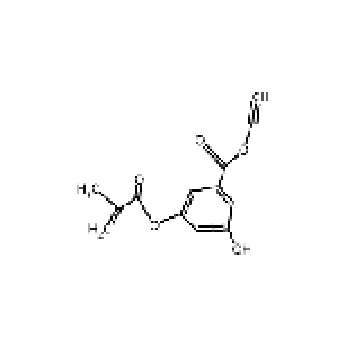 C#COC(=O)c1cc(O)cc(OC(=O)C(=C)C)c1